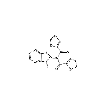 CN1/C(=C(\C(=O)C2=CCCO2)C(=O)c2ccco2)Sc2ccccc21